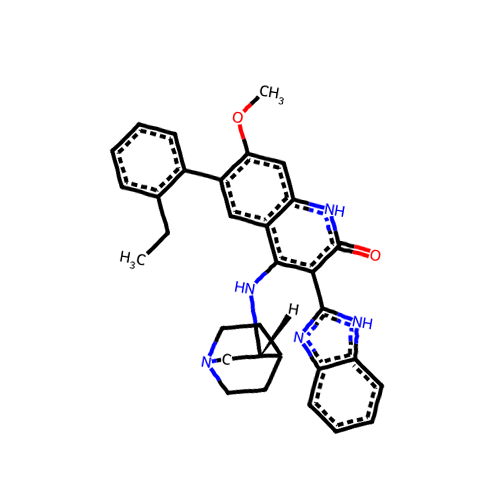 CCc1ccccc1-c1cc2c(N[C@H]3CN4CCC3CC4)c(-c3nc4ccccc4[nH]3)c(=O)[nH]c2cc1OC